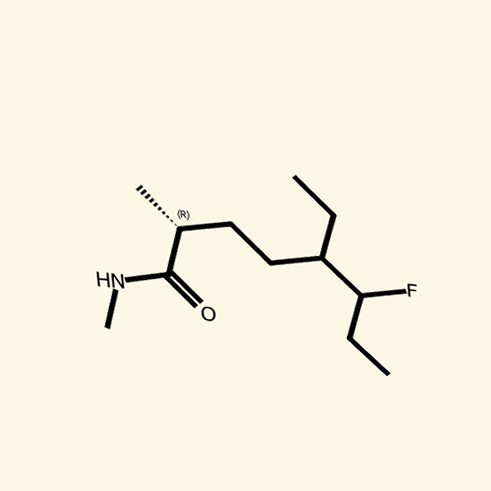 CCC(F)C(CC)CC[C@@H](C)C(=O)NC